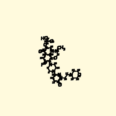 CN1COc2c(N3CCN(c4ccc(=O)n(CCN5CCOCC5)n4)CC3)c(F)cc3c(=O)c(OC(=O)O)cn1c23